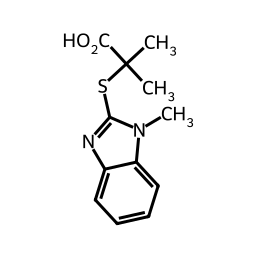 Cn1c(SC(C)(C)C(=O)O)nc2ccccc21